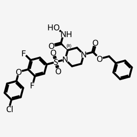 O=C(NO)[C@H]1CN(C(=O)OCc2ccccc2)CCN1S(=O)(=O)c1cc(F)c(Oc2ccc(Cl)cc2)c(F)c1